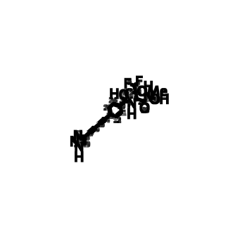 COC(C)(C(F)F)C(NC(=O)c1ccc(C#CC#Cc2c[nH]nn2)cc1)C(=O)NO